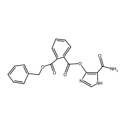 NC(=O)c1[nH]cnc1OC(=O)c1ccccc1C(=O)OCc1ccccc1